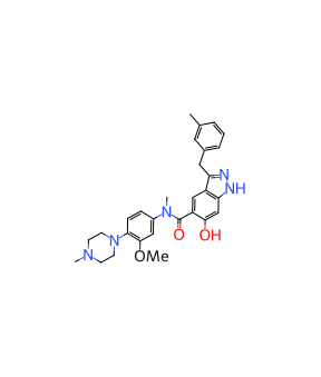 COc1cc(N(C)C(=O)c2cc3c(Cc4cccc(C)c4)n[nH]c3cc2O)ccc1N1CCN(C)CC1